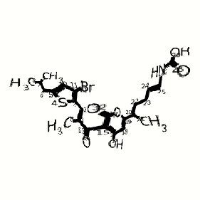 CC(=Cc1sc(CC(C)C)cc1Br)C(=O)c1c(O)cc(C(C)CC/C=C/NC(=O)O)oc1=O